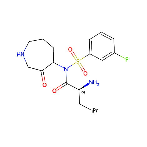 CC(C)C[C@H](N)C(=O)N(C1CCCNCC1=O)S(=O)(=O)c1cccc(F)c1